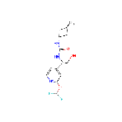 O=C(NC(CO)c1ccnc(OC(F)F)c1)N[C@H]1C[C@H](C(F)(F)F)C1